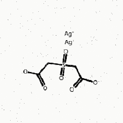 O=C([O-])CS(=O)(=O)CC(=O)[O-].[Ag+].[Ag+]